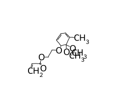 C=CC(=O)OCCOC1C=CC=C(C)C1(OC)OC